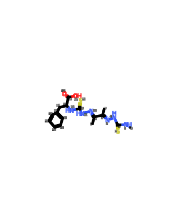 CNC(=S)N/N=C(C)/C(C)=N/NC(=S)NC(Cc1ccccc1)C(=O)O